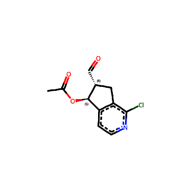 CC(=O)O[C@@H]1c2ccnc(Cl)c2C[C@H]1C=O